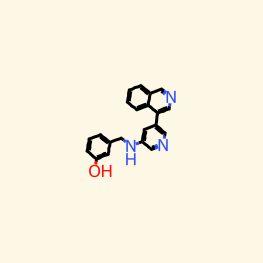 Oc1cccc(CNc2cncc(-c3cncc4ccccc34)c2)c1